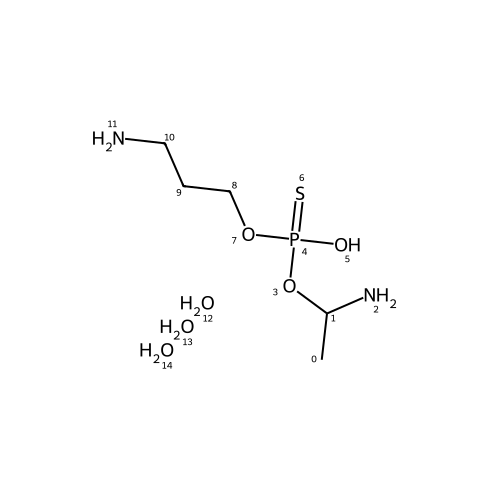 CC(N)OP(O)(=S)OCCCN.O.O.O